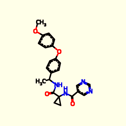 COc1ccc(Oc2ccc(C(C)NC(=O)C3(NC(=O)c4cncnc4)CC3)cc2)cc1